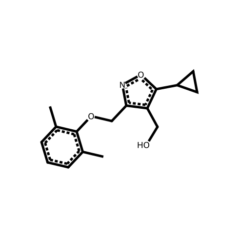 Cc1cccc(C)c1OCc1noc(C2CC2)c1CO